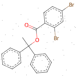 CC(OC(=O)c1ccc(Br)cc1Br)(c1ccccc1)c1ccccc1